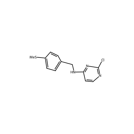 CSc1ccc(CNc2ccnc(Cl)n2)cc1